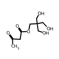 CC(=O)CC(=O)OCC(CO)(CO)CO